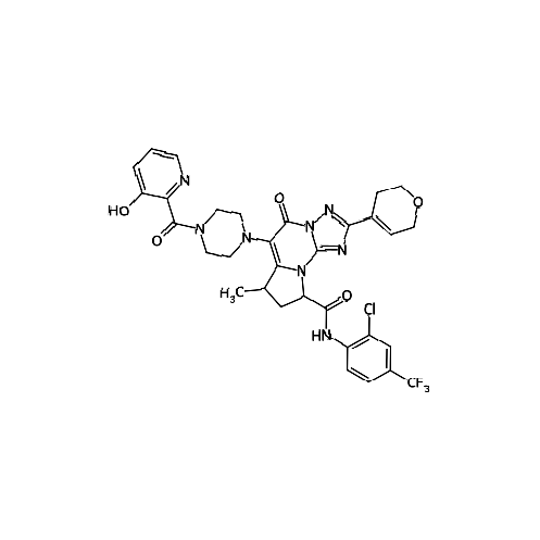 CC1CC(C(=O)Nc2ccc(C(F)(F)F)cc2Cl)n2c1c(N1CCN(C(=O)c3ncccc3O)CC1)c(=O)n1nc(C3=CCOCC3)nc21